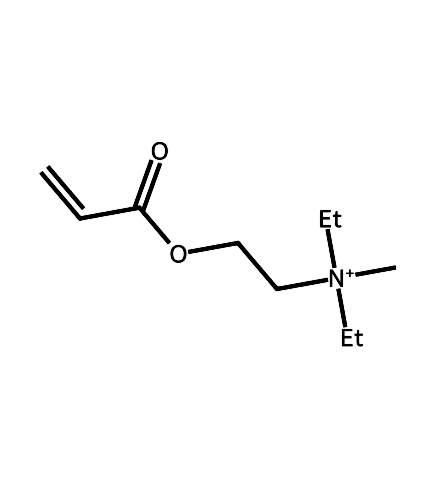 C=CC(=O)OCC[N+](C)(CC)CC